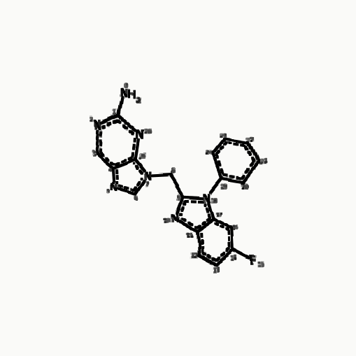 Nc1ncc2ncn(Cc3nc4ccc(F)cc4n3-c3ccccc3)c2n1